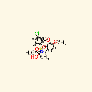 CCC(C)(O)N(Cc1ccc(OC)c(OC)c1)S(=O)(=O)c1ccc(Cl)cc1